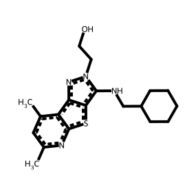 Cc1cc(C)c2c(n1)sc1c(NCC3CCCCC3)n(CCO)nc12